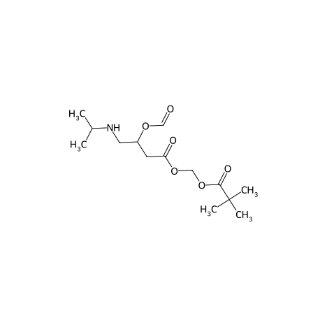 CC(C)NCC(CC(=O)OCOC(=O)C(C)(C)C)OC=O